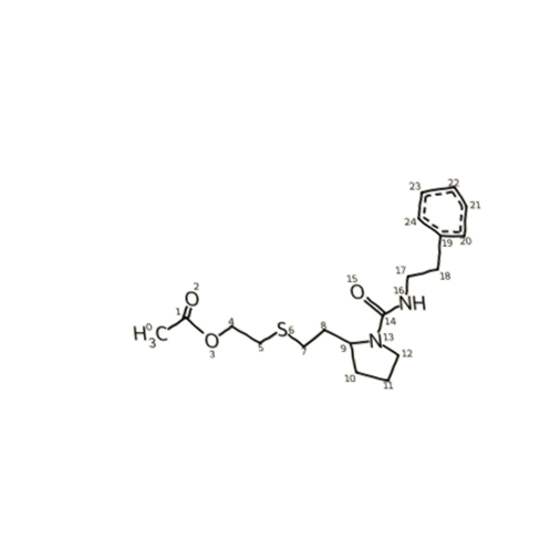 CC(=O)OCCSCCC1CCCN1C(=O)NCCc1ccccc1